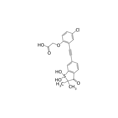 CC1(C)C(=O)c2ccc(C#Cc3cc(Cl)ccc3OCC(=O)O)cc2S1(O)O